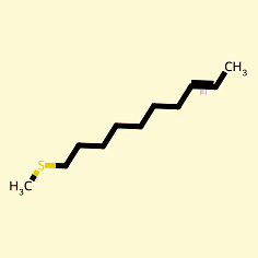 C/C=C/CCCCCCCSC